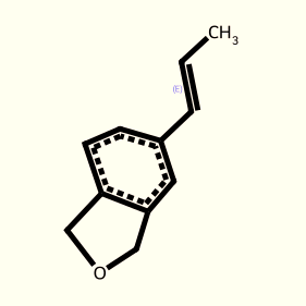 C/C=C/c1ccc2c(c1)COC2